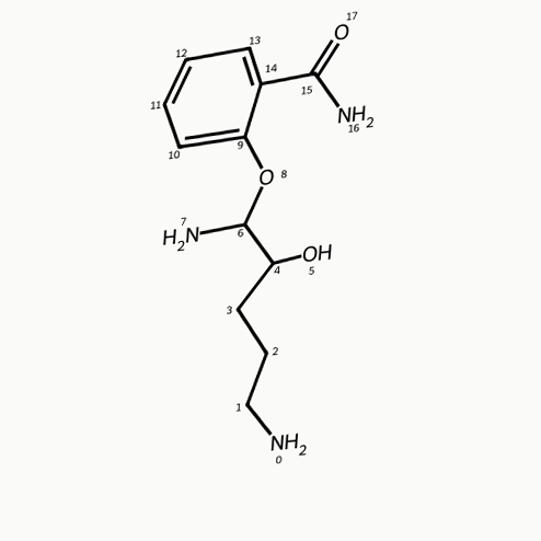 NCCCC(O)C(N)Oc1ccccc1C(N)=O